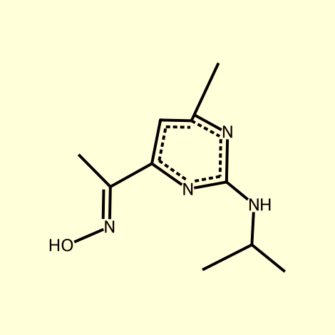 C/C(=N\O)c1cc(C)nc(NC(C)C)n1